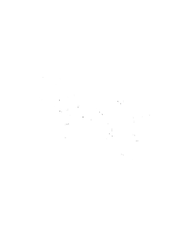 CC[C@H]1O[C@@H](n2cnc3c(=O)[nH]c(N)nc32)C[C@@H]1OP1(=S)SCCS1